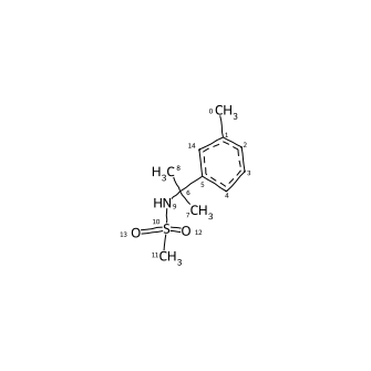 Cc1cccc(C(C)(C)NS(C)(=O)=O)c1